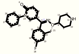 O=c1ccc(/C(=N/OC2CCNCC2)c2ccc(F)cc2F)cn1-c1ccccc1